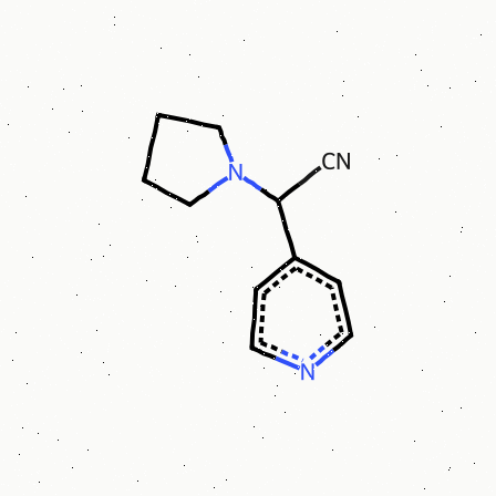 N#CC(c1ccncc1)N1CCCC1